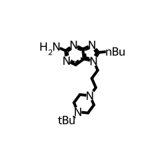 CCCCc1nc2nc(N)ncc2n1CCCN1CCN(C(C)(C)C)CC1